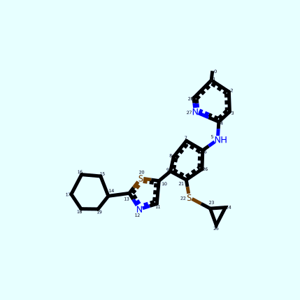 Cc1ccc(Nc2ccc(-c3cnc(C4CCCCC4)s3)c(SC3CC3)c2)nc1